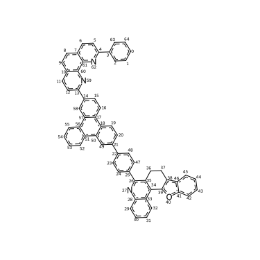 c1ccc(-c2ccc3ccc4ccc(-c5ccc6c7ccc(-c8ccc(-c9nc%10ccccc%10c%10c9CCc9c-%10oc%10ccccc9%10)cc8)cc7c7ccccc7c6c5)nc4c3n2)cc1